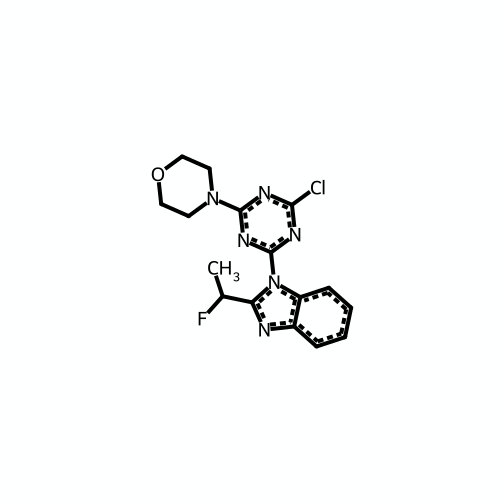 CC(F)c1nc2ccccc2n1-c1nc(Cl)nc(N2CCOCC2)n1